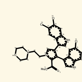 COC(=O)c1c(-c2c[nH]c3ccc(Cl)cc23)c(-c2c[nH]c3cc(Cl)c(Cl)cc23)cn1CCN1CCOCC1